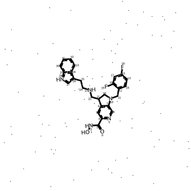 O=C(NO)c1cc2c(cn1)N(Cc1ccc(F)cc1F)CC2CNCCc1c[nH]c2ccccc12